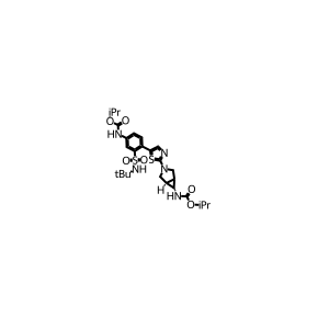 CC(C)OC(=O)Nc1ccc(-c2cnc(N3CC4[C@H](C3)[C@H]4NC(=O)OC(C)C)s2)c(S(=O)(=O)NC(C)(C)C)c1